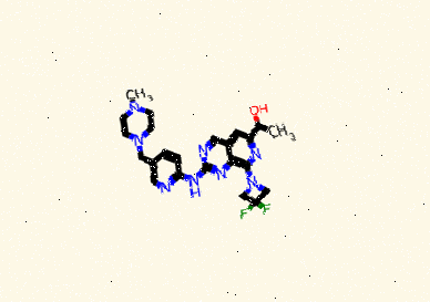 CC(O)c1cc2cnc(Nc3ccc(CN4CCN(C)CC4)cn3)nc2c(N2CC(F)(F)C2)n1